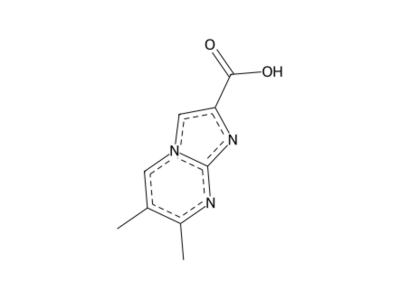 Cc1cn2cc(C(=O)O)nc2nc1C